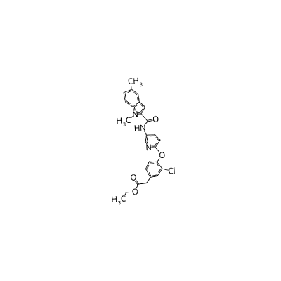 CCOC(=O)Cc1ccc(Oc2ccc(NC(=O)c3cc4cc(C)ccc4n3C)cn2)c(Cl)c1